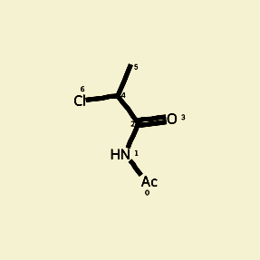 CC(=O)NC(=O)C(C)Cl